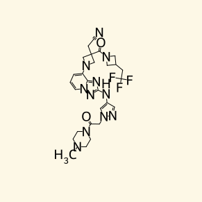 CN1CCN(C(=O)Cn2cc(Nc3nc4c(N5CC(CC#N)(C(=O)N6CC(CC(F)(F)F)C6)C5)cccn4n3)cn2)CC1